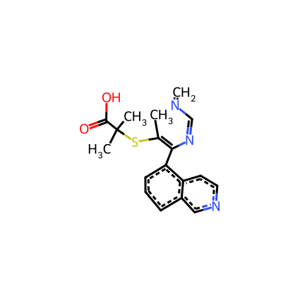 C=N/C=N\C(=C(/C)SC(C)(C)C(=O)O)c1cccc2cnccc12